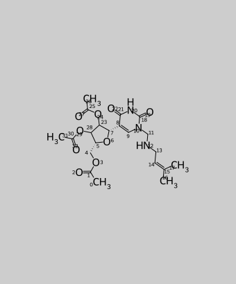 CC(=O)OC[C@H]1O[C@@H](c2cn(CNCC=C(C)C)c(=O)[nH]c2=O)C(OC(C)=O)C1OC(C)=O